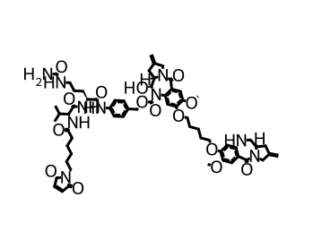 C=C1C[C@H]2CNc3cc(OCCCCCOc4cc5c(cc4OC)C(=O)N4CC(=C)C[C@H]4[C@H](O)N5C(=O)OCc4ccc(NC(=O)[C@H](CCCNC(N)=O)NC(=O)[C@@H](NC(=O)CCCCCN5C(=O)C=CC5=O)C(C)C)cc4)c(OC)cc3C(=O)N2C1